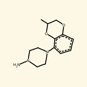 CC1COc2cccc(N3CCN(N)CC3)c2O1